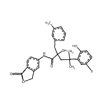 Cc1cccc(CC(O)(CC(C)(C)c2cc(F)ccc2O)C(=O)Nc2ccc3c(c2)COC3=O)c1